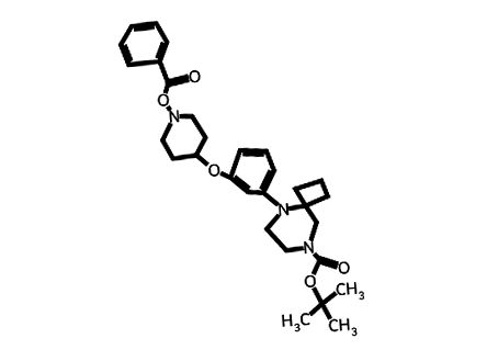 CC(C)(C)OC(=O)N1CCN(c2cccc(OC3CCN(OC(=O)c4ccccc4)CC3)c2)C2(CCC2)C1